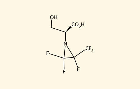 O=C(O)[C@H](CO)N1C(F)(F)C1(F)C(F)(F)F